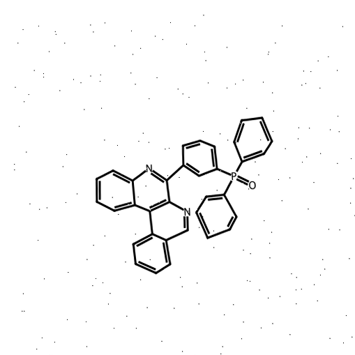 O=P(c1ccccc1)(c1ccccc1)c1cccc(-c2nc3ccccc3c3c2ncc2ccccc23)c1